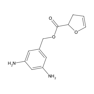 Nc1cc(N)cc(COC(=O)C2CC=CO2)c1